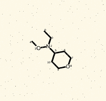 CCN(OC)C1CCOCC1